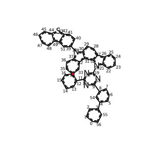 c1ccc(-c2cccc(-c3nc(-c4ccccc4)nc(-n4c5ccccc5c5ccc6c(c7ccccc7n6-c6ccc7sc8ccccc8c7c6)c54)n3)c2)cc1